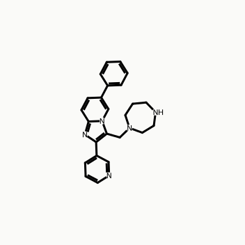 c1ccc(-c2ccc3nc(-c4cccnc4)c(CN4CCCNCC4)n3c2)cc1